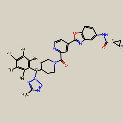 [2H]c1c([2H])c([2H])c([C@@H](C2CCN(C(=O)c3cc(-c4nc5cc(NC(=O)[C@@H]6C[C@@H]6F)ccc5o4)ccn3)CC2)n2nnc(C)n2)c([2H])c1[2H]